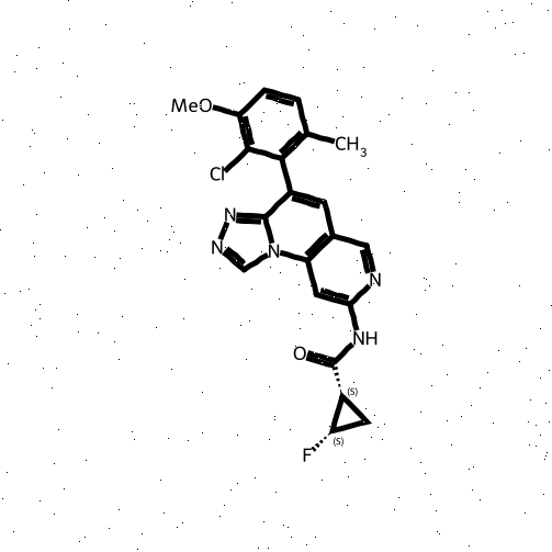 COc1ccc(C)c(-c2cc3cnc(NC(=O)[C@@H]4C[C@@H]4F)cc3n3cnnc23)c1Cl